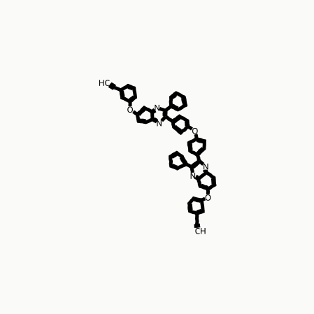 C#Cc1cccc(Oc2ccc3nc(-c4ccc(Oc5ccc(-c6nc7ccc(Oc8cccc(C#C)c8)cc7nc6-c6ccccc6)cc5)cc4)c(-c4ccccc4)nc3c2)c1